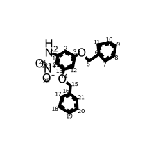 Nc1cc(OCc2ccccc2)cc(OCc2ccccc2)c1[N+](=O)[O-]